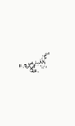 COc1ccc(CCOC2CCCCC2C2CCC(O)C2)cc1OC